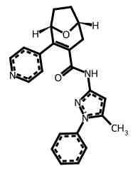 Cc1cc(NC(=O)C2=C(c3ccncc3)[C@@H]3CC[C@H](C2)O3)nn1-c1ccccc1